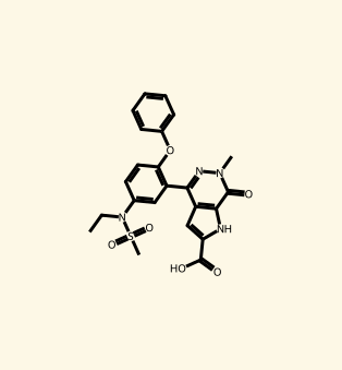 CCN(c1ccc(Oc2ccccc2)c(-c2nn(C)c(=O)c3[nH]c(C(=O)O)cc23)c1)S(C)(=O)=O